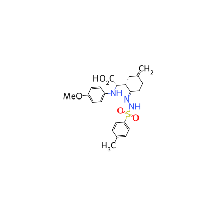 C=C1CC/C(=N\NS(=O)(=O)c2ccc(C)cc2)[C@H]([C@H](Nc2ccc(OC)cc2)C(=O)O)C1